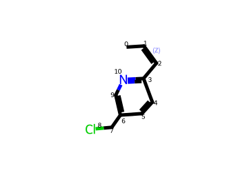 C/C=C\c1ccc(CCl)cn1